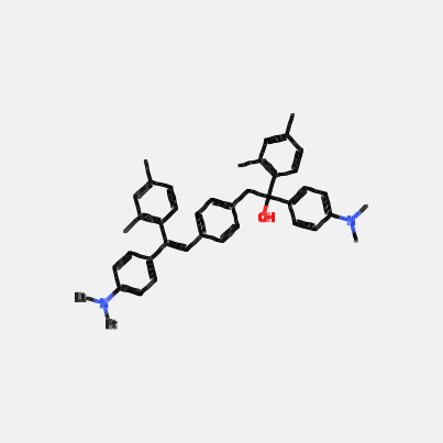 CCN(CC)c1ccc(C(=Cc2ccc(CC(O)(c3ccc(N(C)C)cc3)c3ccc(C)cc3C)cc2)c2ccc(C)cc2C)cc1